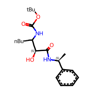 CCCCC(NC(=O)OC(C)(C)C)[C@H](O)C(=O)N[C@@H](C)c1ccccc1